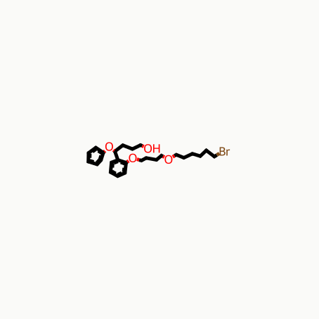 OCCCC(Oc1ccccc1)c1ccccc1OCCCCOCCCCCCBr